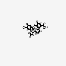 Cc1cc(OCc2ccc(C(=O)O)cc2C)c(N(CC(C)C)S(=O)(=O)c2ccccn2)cc1Cl